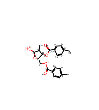 Cc1ccc(C(=O)OC[C@H]2OC(O)[C@@H](C)[C@@H]2OC(=O)c2ccc(C)cc2)cc1